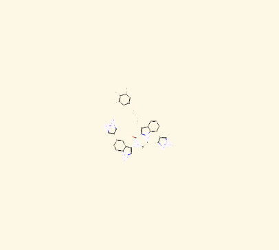 Cc1cc(OCCCc2c3n(c4c(-c5c(C)nn(C)c5C)cccc24)C(C)[C@@H](Cl)N(c2cn(C)c4ccc(-c5cnn(C)c5)cc24)C3=O)cc(C)c1Cl